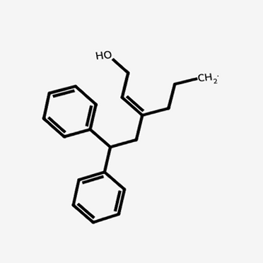 [CH2]CCC(=CCO)CC(c1ccccc1)c1ccccc1